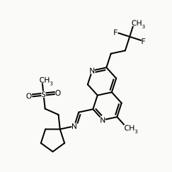 CC1=CC2=CC(CCC(C)(F)F)=NCC2C(/C=N/C2(CCS(C)(=O)=O)CCCC2)=N1